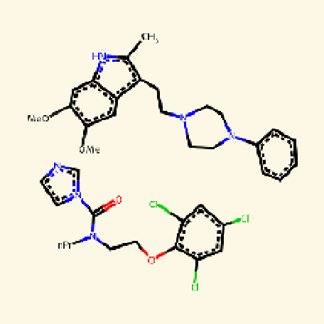 CCCN(CCOc1c(Cl)cc(Cl)cc1Cl)C(=O)n1ccnc1.COc1cc2[nH]c(C)c(CCN3CCN(c4ccccc4)CC3)c2cc1OC